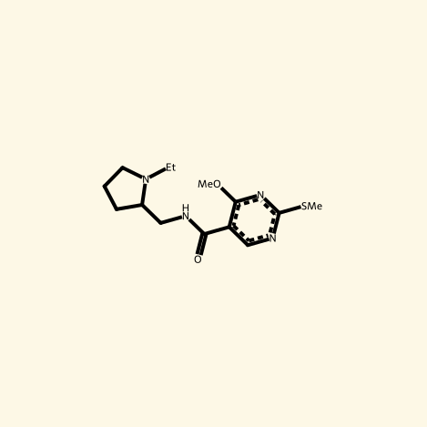 CCN1CCCC1CNC(=O)c1cnc(SC)nc1OC